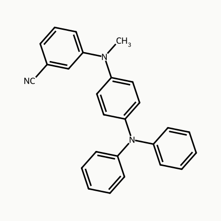 CN(c1ccc(N(c2ccccc2)c2ccccc2)cc1)c1cccc(C#N)c1